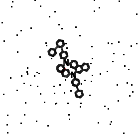 c1ccc(-c2ccc(N(c3ccccc3)c3cc4ccccc4c4ccc(N(c5ccccc5)c5ccc(-c6ccccc6-c6ccccc6)cc5)cc34)cc2)cc1